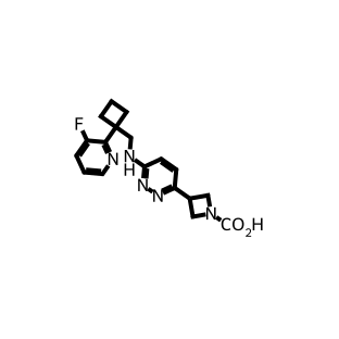 O=C(O)N1CC(c2ccc(NCC3(c4ncccc4F)CCC3)nn2)C1